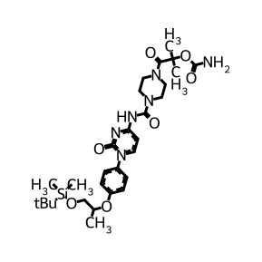 CC(CO[Si](C)(C)C(C)(C)C)Oc1ccc(-n2ccc(NC(=O)N3CCN(C(=O)C(C)(C)OC(N)=O)CC3)nc2=O)cc1